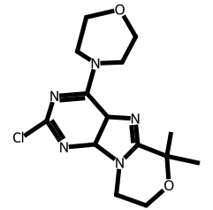 CC1(C)OCCN2C1=NC1C(N3CCOCC3)=NC(Cl)=NC12